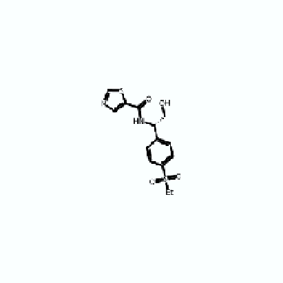 CCS(=O)(=O)c1ccc([C@@H](CO)NC(=O)c2cncs2)cc1